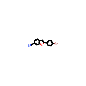 N#Cc1ccc2cc(-c3ccc(Br)cc3)oc2c1